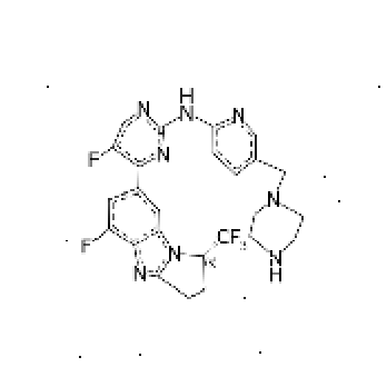 Fc1cnc(Nc2ccc(CN3CCNCC3)cn2)nc1-c1cc(F)c2nc3n(c2c1)[C@H](C(F)(F)F)CC3